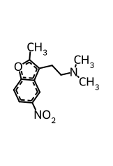 Cc1oc2ccc([N+](=O)[O-])cc2c1CCN(C)C